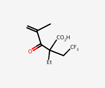 C=C(C)C(=O)C(CC)(CC(F)(F)F)C(=O)O